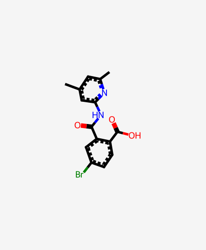 Cc1cc(C)nc(NC(=O)c2cc(Br)ccc2C(=O)O)c1